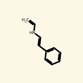 C=CNC=Cc1ccccc1